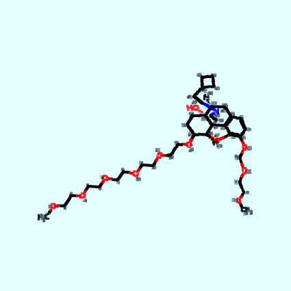 COCCOCCOCCOCCOCCOC1CC[C@@]2(O)[C@H]3Cc4ccc(OCOCCOC)c5c4[C@@]2(CCN3CC2CCC2)[C@H]1O5